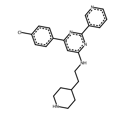 Clc1ccc(-c2cc(NCCC3CCNCC3)nc(-c3cccnc3)n2)cc1